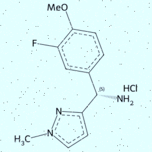 COc1ccc([C@H](N)c2ccn(C)n2)cc1F.Cl